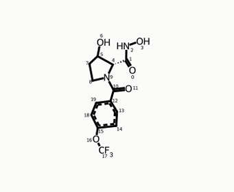 O=C(NO)[C@H]1C(O)CCN1C(=O)c1ccc(OC(F)(F)F)cc1